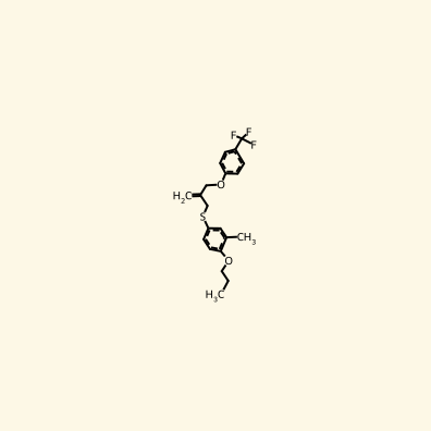 C=C(COc1ccc(C(F)(F)F)cc1)CSc1ccc(OCCC)c(C)c1